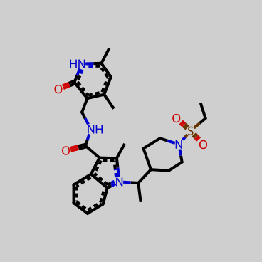 CCS(=O)(=O)N1CCC(C(C)n2c(C)c(C(=O)NCc3c(C)cc(C)[nH]c3=O)c3ccccc32)CC1